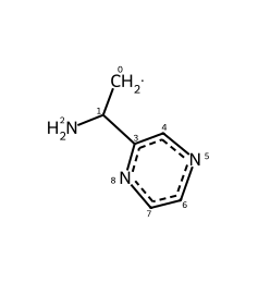 [CH2]C(N)c1cnccn1